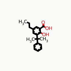 CCCc1cc(C(=O)O)c(O)c(C(C)(C)c2ccccc2)c1